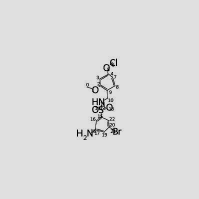 COc1cc(OCl)ccc1CNS(=O)(=O)c1cc(N)cc(Br)c1